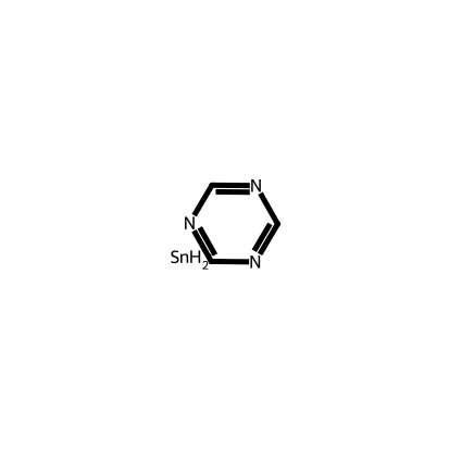 [SnH2].c1ncncn1